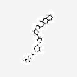 CC(C)(C)[Si](C)(C)OCCN1CCC(n2cc(-c3ccc4ncc(Cc5cc6cccnc6cc5F)n4n3)cn2)CC1